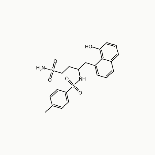 Cc1ccc(S(=O)(=O)NC(CCS(N)(=O)=O)Cc2cccc3cccc(O)c23)cc1